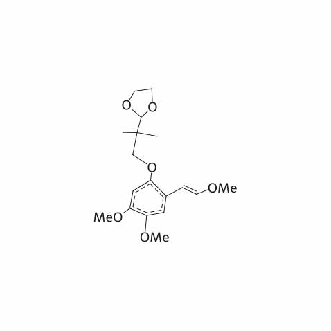 CO/C=C/c1cc(OC)c(OC)cc1OCC(C)(C)C1OCCO1